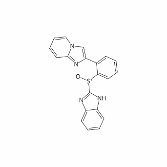 [O-][S+](c1nc2ccccc2[nH]1)c1ccccc1-c1cn2ccccc2n1